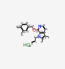 C=CCn1c(C)c(C)c2ccnc(OCc3ccc(C)c(C)c3)c21.Cl